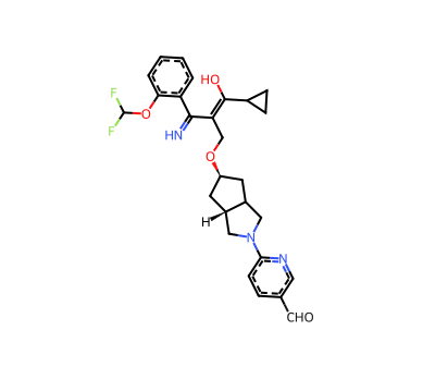 N=C(/C(CO[C@H]1CC2CN(c3ccc(C=O)cn3)C[C@@H]2C1)=C(\O)C1CC1)c1ccccc1OC(F)F